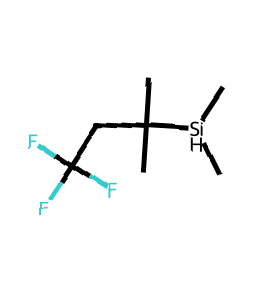 C[SiH](C)C(C)(C)CC(F)(F)F